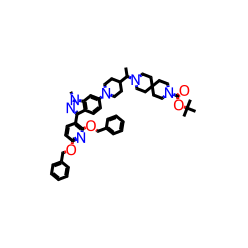 CC(C1CCN(c2ccc3c(-c4ccc(OCc5ccccc5)nc4OCc4ccccc4)nn(C)c3c2)CC1)N1CCC2(CCN(C(=O)OC(C)(C)C)CC2)CC1